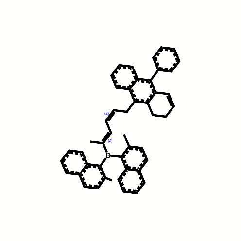 C/C(=C\C=C/Cc1c2c(c(-c3ccccc3)c3ccccc13)C=CCC2)B(c1c(C)ccc2ccccc12)c1c(C)ccc2ccccc12